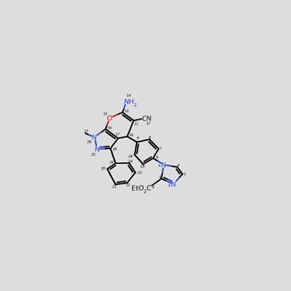 CCOC(=O)c1nccn1-c1ccc(C2C(C#N)=C(N)Oc3c2c(-c2ccccc2)nn3C)cc1